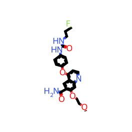 COCCOc1cc2nccc(Oc3ccc(NC(=O)NCCCF)cc3)c2cc1C(N)=O